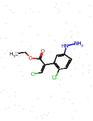 CCOC(=O)C(=CCl)c1cc(NN)ccc1Cl